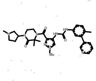 Cc1ccc(NC(=O)Nc2cn(C(C)(C)C)nc2C(=O)N2CCN(C3CCN(C)C3)C(=O)C2(C)C)cc1-c1cccnc1